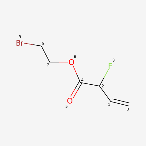 C=CC(F)C(=O)OCCBr